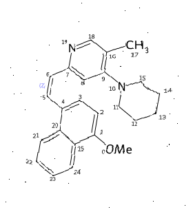 COc1ccc(/C=C\c2cc(N3CCCCC3)c(C)cn2)c2ccccc12